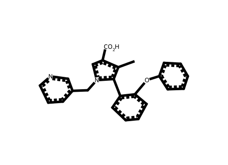 Cc1c(C(=O)O)cn(Cc2cccnc2)c1-c1ccccc1Oc1ccccc1